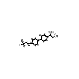 NC(CO)c1ccc(-c2ccc(OCC(F)(F)F)nc2)cc1